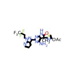 CC(=O)Oc1csc([C@@]2(C)C(=O)Nc3nc(-c4nn(CCC(F)(F)C(F)(F)F)c5ncccc45)nc(N)c32)n1